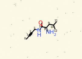 CC#CCNC(=O)[C@@H](N)CC(C)C